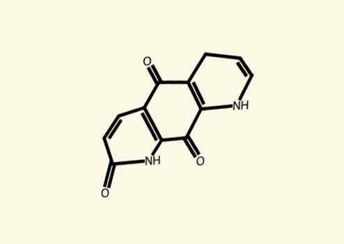 O=C1C2=C(NC=CC2)C(=O)c2[nH]c(=O)ccc21